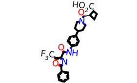 O=C(Nc1ccc(C2CCN(C(=O)[C@@H]3CC[C@H]3C(=O)O)CC2)cc1)c1nc(-c2ccccc2)oc1C(F)(F)F